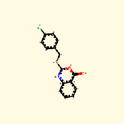 O=c1oc(SCc2ccc(Br)cc2)nc2ccccc12